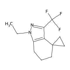 CCn1nc(C(F)(F)F)c2c1CCCC21CC1